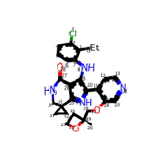 CCc1c(Cl)cccc1Nc1c(-c2ccncc2OC[C@@]2(C)CCO2)[nH]c2c1C(=O)NCC21CC1